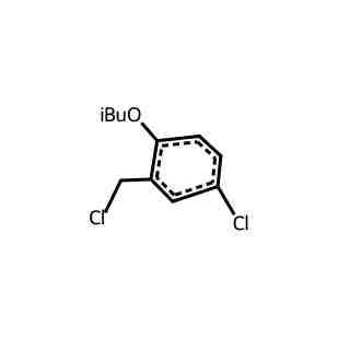 CC(C)COc1ccc(Cl)cc1CCl